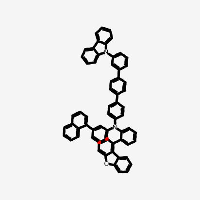 c1cc(-c2cccc3ccccc23)cc(N(c2ccc(-c3ccc(-c4cccc(-n5c6ccccc6c6ccccc65)c4)cc3)cc2)c2ccccc2-c2cccc3oc4ccccc4c23)c1